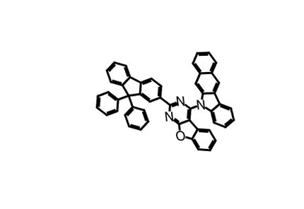 c1ccc(C2(c3ccccc3)c3ccccc3-c3ccc(-c4nc(-n5c6ccccc6c6cc7ccccc7cc65)c5c(n4)oc4ccccc45)cc32)cc1